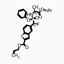 C=CCOC(=O)c1cc2cc([C@H](F)P(=O)(N[C@@H](C)C(=O)OCCC)Oc3ccccc3)ccc2s1